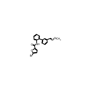 CO/N=C/c1cccc(-c2ccccc2NC(=O)c2ccc(Br)o2)c1